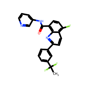 CC(F)(F)c1cccc(-c2ccc3c(F)ccc(C(=O)Nc4cccnc4)c3n2)c1